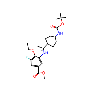 CCOc1c(F)cc(C(=O)OC)cc1N[C@@H](C)C1CCC(NC(=O)OC(C)(C)C)CC1